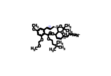 COCOc1cc(OC)cc(/C=C/C[C@@H]2OC(C)(C)OC2C(O)/C=C\[C@H](C)CN=[N+]=[N-])c1C(=O)OCC[Si](C)(C)C